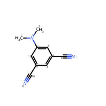 CN(C)c1cc(C#N)cc(C#N)c1